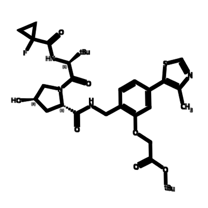 Cc1ncsc1-c1ccc(CNC(=O)[C@@H]2C[C@@H](O)CN2C(=O)[C@@H](NC(=O)C2(F)CC2)C(C)(C)C)c(OCC(=O)OC(C)(C)C)c1